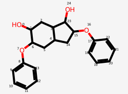 OC1CC2C(CC1Oc1ccccc1)CC(Oc1ccccc1)C2O